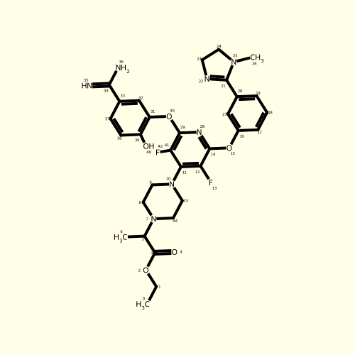 CCOC(=O)C(C)N1CCN(c2c(F)c(Oc3cccc(C4=NCCN4C)c3)nc(Oc3cc(C(=N)N)ccc3O)c2F)CC1